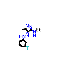 CCNC1=NN=C(C)/C1=N\Nc1cccc(F)c1